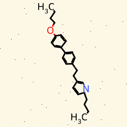 CCCCOc1ccc(-c2ccc(CCc3ccc(CCCC)nc3)cc2)cc1